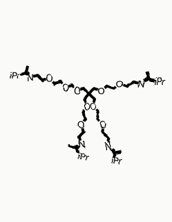 C/C(=N\CCOCCOCOCC(COCCOCC/N=C(\C)C(C)C)(COCCOCC/N=C(\C)C(C)C)COCCOCC/N=C(\C)C(C)C)C(C)C